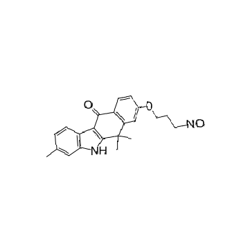 Cc1ccc2c3c([nH]c2c1)C(C)(C)c1cc(OCCCN=O)ccc1C3=O